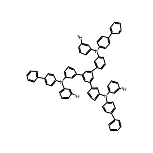 [3H]c1cccc(N(c2ccc(-c3ccccc3)cc2)c2cccc(-c3cc(-c4cccc(N(c5ccc(-c6ccccc6)cc5)c5cccc([3H])c5)c4)cc(-c4cccc(N(c5ccc(-c6ccccc6)cc5)c5cccc([3H])c5)c4)c3)c2)c1